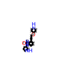 Cn1c(=O)n(C2CCCNC2)c2cccc(C#CCOC3CCNCC3)c21